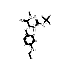 CCOc1ccc(C[C@@H](NC(=O)OC(C)(C)C)C(=O)OC)cc1